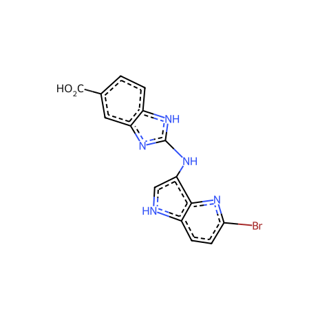 O=C(O)c1ccc2[nH]c(Nc3c[nH]c4ccc(Br)nc34)nc2c1